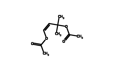 CC(=O)O/C=C\C(C)(C)OC(C)=O